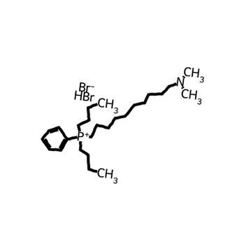 Br.CCCC[P+](CCCC)(CCCCCCCCCCN(C)C)c1ccccc1.[Br-]